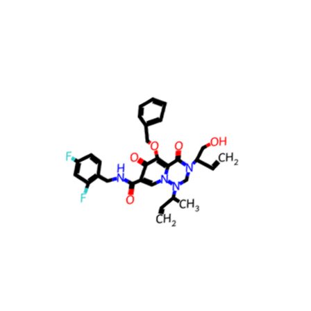 C=CC(CO)N1CN(C(C)C=C)n2cc(C(=O)NCc3ccc(F)cc3F)c(=O)c(OCc3ccccc3)c2C1=O